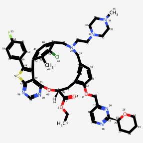 CCOC(=O)[C@H]1Cc2cc(ccc2OCc2ccnc([C@@H]3CCCCO3)n2)CN(CCN2CCN(C)CC2)Cc2ccc(c(C)c2Cl)-c2c(-c3ccc(F)cc3)sc3ncnc(c23)O1